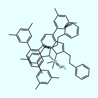 Cc1cc(C)cc(-c2ccc(-c3cc(C)cc(C)c3)c3c2C=C(CCc2ccccc2)[CH]3[Zr]([CH3])([CH3])(=[SiH2])[CH]2C(CCc3ccccc3)=Cc3c(-c4cc(C)cc(C)c4)ccc(-c4cc(C)cc(C)c4)c32)c1